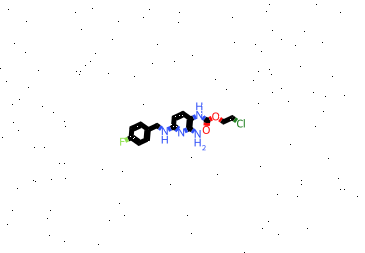 Nc1nc(NCc2ccc(F)cc2)ccc1NC(=O)OCCCl